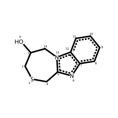 OC1CSCc2nc3ccccc3n2C1